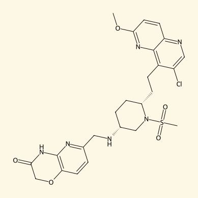 COc1ccc2ncc(Cl)c(CC[C@H]3CC[C@@H](NCc4ccc5c(n4)NC(=O)CO5)CN3S(C)(=O)=O)c2n1